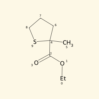 CCOC(=O)C1(C)CCCS1